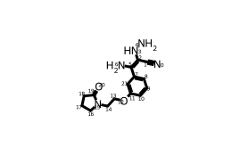 N#C/C(NN)=C(/N)c1cccc(OCCN2CCCC2=O)c1